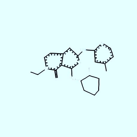 CCn1ccc2cc(Nc3cc(C)ccn3)nc(N[C@H]3CCCC[C@H]3O)c2c1=O